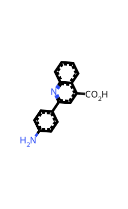 Nc1ccc(-c2cc(C(=O)O)c3ccccc3n2)cc1